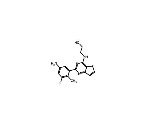 Cc1c(F)cc(N)cc1-c1nc(NCCO)c2sccc2n1